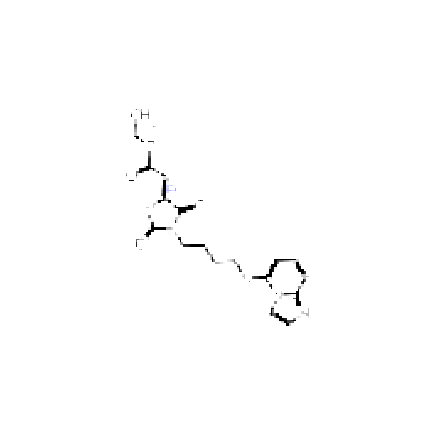 CCOC(=O)/C=C1\SC(=O)N(CCCCSc2cccc3nccn23)C1=O